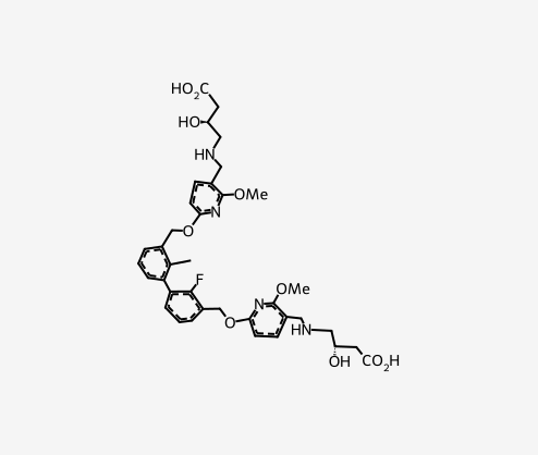 COc1nc(OCc2cccc(-c3cccc(COc4ccc(CNC[C@@H](O)CC(=O)O)c(OC)n4)c3F)c2C)ccc1CNC[C@@H](O)CC(=O)O